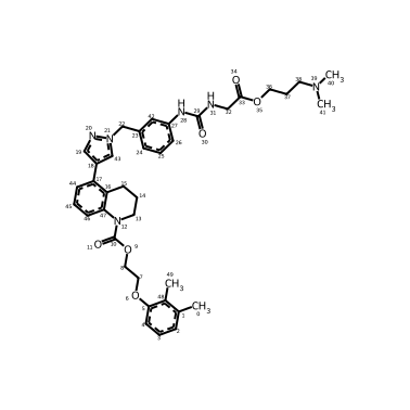 Cc1cccc(OCCOC(=O)N2CCCc3c(-c4cnn(Cc5cccc(NC(=O)NCC(=O)OCCCN(C)C)c5)c4)cccc32)c1C